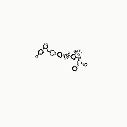 O=C(NS(=O)(=O)c1ccc(N[C@H](CCN2CCC2)CSc2ccccc2)c(S(=O)(=O)C(F)(F)F)c1)c1ccc(N2CCN(CC3=C(c4ccc(Cl)cc4)CCOC3)CC2)cc1